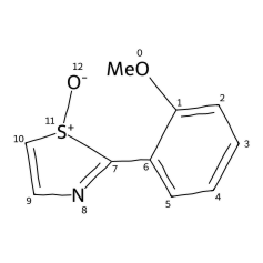 COc1ccccc1-c1ncc[s+]1[O-]